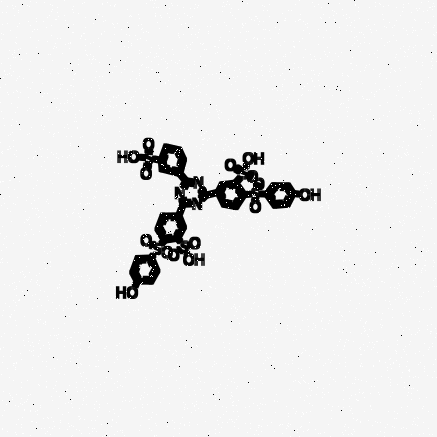 O=S(=O)(O)c1cccc(-c2nc(-c3ccc(S(=O)(=O)c4ccc(O)cc4)c(S(=O)(=O)O)c3)nc(-c3ccc(S(=O)(=O)c4ccc(O)cc4)c(S(=O)(=O)O)c3)n2)c1